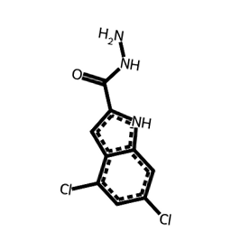 NNC(=O)c1cc2c(Cl)cc(Cl)cc2[nH]1